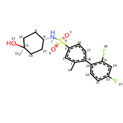 Cc1cc(S(=O)(=O)N[C@H]2CC[C@](C)(O)CC2)ccc1-c1ccc(F)cc1F